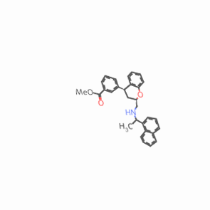 COC(=O)c1cccc([C@@H]2C[C@H](CNC(C)c3cccc4ccccc34)Oc3ccccc32)c1